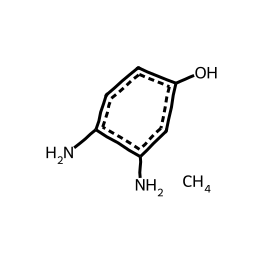 C.Nc1ccc(O)cc1N